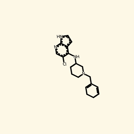 Clc1cnc2[nH]ccc2c1NC1CCCN(CC2=CCCC=C2)C1